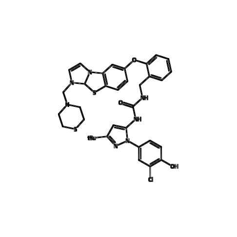 CC(C)(C)c1cc(NC(=O)NCc2ccccc2Oc2ccc3c(c2)N2C=CN(CN4CCSCC4)C2S3)n(-c2ccc(O)c(Cl)c2)n1